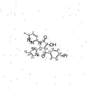 Cc1ccc(N2C(=O)C(O)=C(C(=O)c3ccc(C(C)C)cc3)C2c2ncc(C)s2)nn1